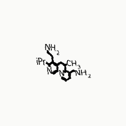 CC(C)c1nccc(CC(C)c2ncccc2CN)c1CCN